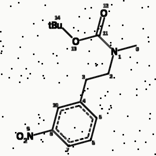 CN(CCc1cccc([N+](=O)[O-])c1)C(=O)OC(C)(C)C